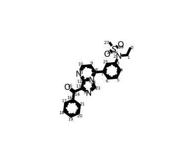 CCN(c1cccc(-c2ccnc3c(C(=O)c4ccccc4)ncn23)c1)S(C)(=O)=O